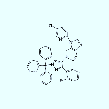 Fc1ccccc1-c1nn(C(c2ccccc2)(c2ccccc2)c2ccccc2)cc1-c1ccc2ncn(-c3ccc(Cl)cn3)c2c1